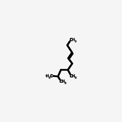 [CH2]C(C)CC(C)C/C=C/CC